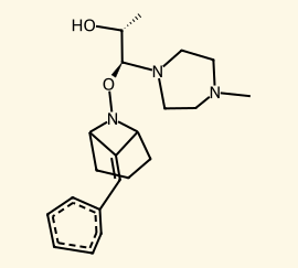 C[C@@H](O)[C@H](ON1C2CCCC1C2=Cc1ccccc1)N1CCN(C)CC1